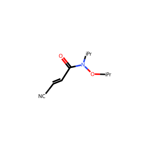 CC(C)ON(C(=O)/C=C/C#N)C(C)C